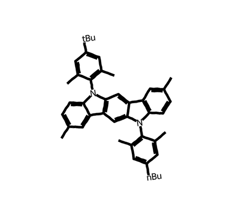 CCCCc1cc(C)c(-n2c3ccc(C)cc3c3cc4c(cc32)c2cc(C)ccc2n4-c2c(C)cc(C(C)(C)C)cc2C)c(C)c1